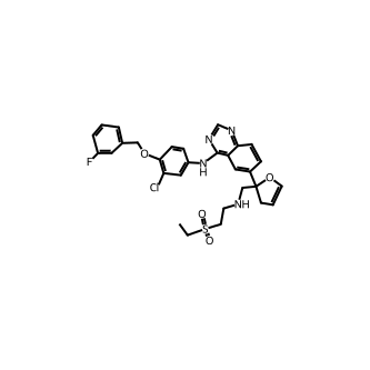 CCS(=O)(=O)CCNCC1(c2ccc3ncnc(Nc4ccc(OCc5cccc(F)c5)c(Cl)c4)c3c2)CC=CO1